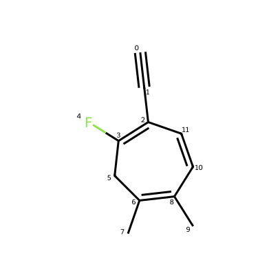 C#CC1=C(F)CC(C)=C(C)C=C1